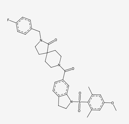 COc1cc(C)c(S(=O)(=O)N2CCc3ccc(C(=O)N4CCC5(CC4)CCN(Cc4ccc(F)cc4)C5=O)cc32)c(C)c1